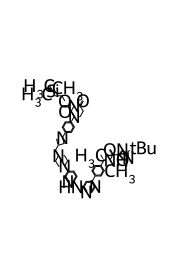 Cc1cc(-c2cc(Nc3ccc(N4CCN(CC5CN(c6ccc(N7CCC(=O)N(COCC[Si](C)(C)C)C7=O)cc6)C5)CC4)cn3)ncn2)ccc1[C@@H](C)NC(=O)c1nc(C(C)(C)C)no1